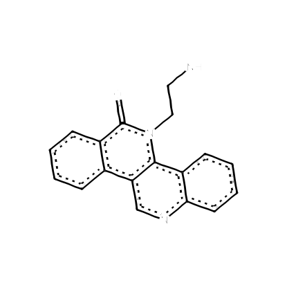 NCCn1c(=O)c2ccccc2c2cnc3ccccc3c21